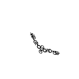 CC(C)(C)[Si](C)(C)OCC1CCN(c2ccc3c(=O)c4ccc(N5CCC(CO[Si](C)(C)C(C)(C)C)CC5)cc4oc3c2)CC1